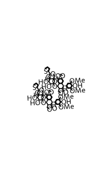 COc1cc([C@@H]2c3cc4c(cc3C(O[C@@H]3O[C@@H]5COC(c6cccs6)O[C@H]5[C@H](O)[C@H]3O)C3COC(=O)[C@@H]32)OCO4)cc(OC)c1O.COc1cc([C@@H]2c3cc4c(cc3C(O[C@@H]3O[C@@H]5COC(c6cccs6)O[C@H]5[C@H](O)[C@H]3O)C3COC(=O)[C@@H]32)OCO4)cc(OC)c1O